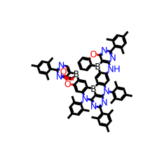 Cc1cc(C)c(-c2nc3c4c(n2)Oc2ccccc2B4c2cc4c(cc2N3)N(c2c(C)cc(C)cc2C)c2nc(-c3c(C)cc(C)cc3C)nc3c2B4c2cc4c(cc2N3c2c(C)cc(C)cc2C)Oc2nc(-c3c(C)cc(C)cc3C)nc3c2B4c2ccccc2O3)c(C)c1